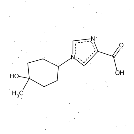 CC1(O)CCC(n2cnc(C(=O)O)c2)CC1